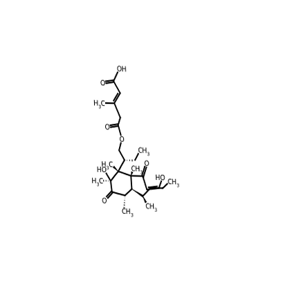 CCC[C@@H](C)[C@H]1[C@H](C)C(=O)[C@@](C)(O)[C@](C)([C@@H](CC)COC(=O)C/C(C)=C/C(=O)O)[C@]1(C)C(=O)/C=C\O